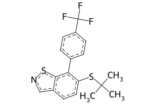 CC(C)(C)Sc1ccc2cnsc2c1-c1ccc(C(F)(F)F)cc1